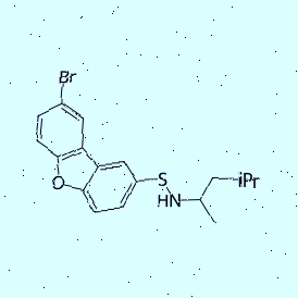 CC(C)CC(C)NSc1ccc2oc3ccc(Br)cc3c2c1